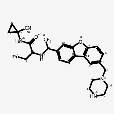 CC(C)CC(NC(c1ccc2c(c1)oc1ccc(CN3CCNCC3)cc12)C(F)(F)F)C(=O)NC1(C#N)CC1